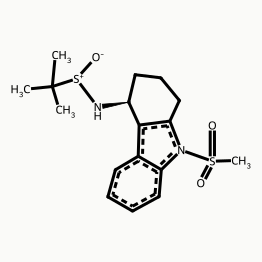 CC(C)(C)[S+]([O-])N[C@H]1CCCc2c1c1ccccc1n2S(C)(=O)=O